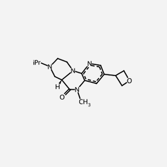 CC(C)N1CCN2c3ncc(C4COC4)cc3N(C)C(=O)[C@@H]2C1